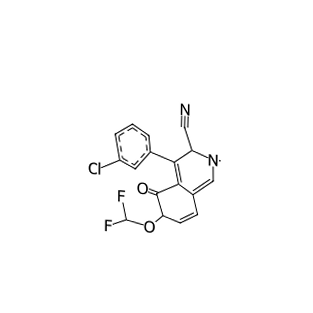 N#CC1[N]C=C2C=CC(OC(F)F)C(=O)C2=C1c1cccc(Cl)c1